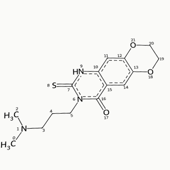 CN(C)CCCn1c(=S)[nH]c2cc3c(cc2c1=O)OCCO3